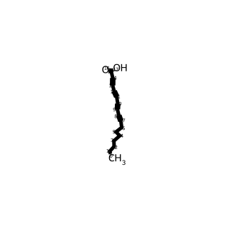 CCCCCCCC#CC#CC#CC#CC(=O)O